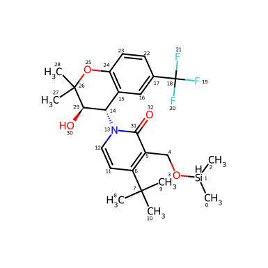 C[SiH](C)OCc1c(C(C)(C)C)ccn([C@H]2c3cc(C(F)(F)F)ccc3OC(C)(C)[C@@H]2O)c1=O